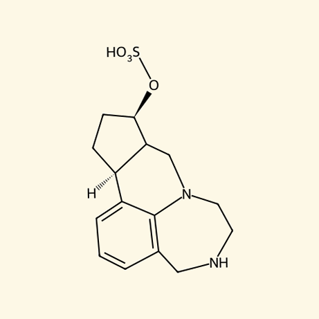 O=S(=O)(O)O[C@@H]1CC[C@@H]2c3cccc4c3N(CCNC4)CC21